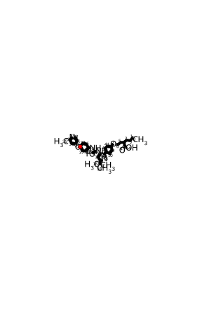 CCCCC(CCOc1ccc(-n2nc(C(C)(C)C)cc2NC(=O)Nc2ccc(Oc3ccnc(C)c3)cc2F)cc1)C(=O)O